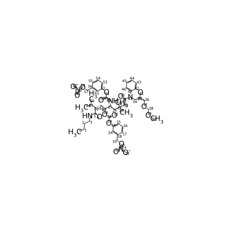 CCCCNC(=O)[C@@H](C[C@H](OC(=O)Oc1cccc(CO[N+](=O)[O-])c1)C(CC(C)(C)CC(=O)N1C[C@H](COCOC)Oc2ccccc21)NC(=O)Oc1cccc(CO[N+](=O)[O-])c1)C(C)C